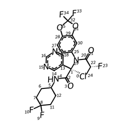 C[C@](C(=O)NC1CCC(F)(F)CC1)(c1cncnc1)N(C(=O)[C@H](F)Cl)c1ccc2c(c1)OC(F)(F)O2